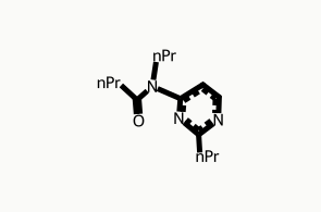 CCCC(=O)N(CCC)c1ccnc(CCC)n1